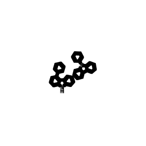 c1ccc(-c2cccc3[nH]c4ccccc4c23)cc1.c1ccc(-n2c3ccccc3c3ccccc32)cc1